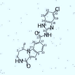 CC1CCNC(=O)c2cc3ccc(C(=O)Nc4nc5cc(Cl)ccc5[nH]4)cc3n21